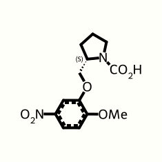 COc1ccc([N+](=O)[O-])cc1OC[C@@H]1CCCN1C(=O)O